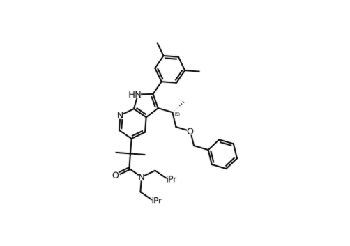 Cc1cc(C)cc(-c2[nH]c3ncc(C(C)(C)C(=O)N(CC(C)C)CC(C)C)cc3c2[C@H](C)COCc2ccccc2)c1